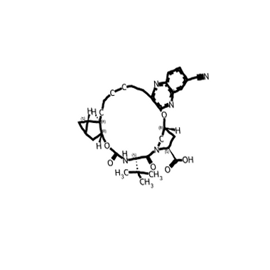 CC(C)(C)[C@@H]1NC(=O)O[C@@H]2CC3C[C@@H]3[C@H]2CCCCCCc2nc3ccc(C#N)cc3nc2O[C@@H]2C[C@@H](C(=O)O)N(C2)C1=O